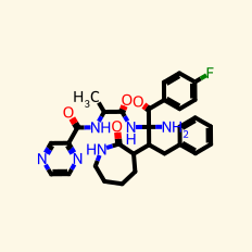 CC(NC(=O)c1cnccn1)C(=O)NC(N)(C(=O)c1ccc(F)cc1)C(Cc1ccccc1)C1CCCCNC1=O